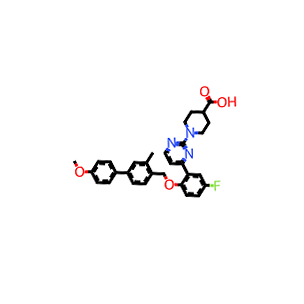 COc1ccc(-c2ccc(COc3ccc(F)cc3-c3ccnc(N4CCC(C(=O)O)CC4)n3)c(C)c2)cc1